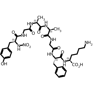 C[C@H](NC(=O)CNC(=O)[C@H](Cc1ccc(O)cc1)N[N+](=O)[O-])C(=O)N[C@@H](C)C(=O)NCC(=O)N[C@@H](Cc1ccccc1)C(=O)N[C@@H](CCCCN)C(=O)O